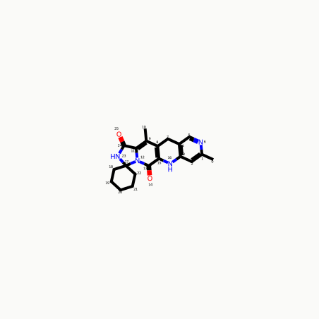 Cc1cc2c(cn1)Cc1c(C)c3n(c(=O)c1N2)C1(CCCCC1)NC3=O